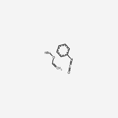 C=COCCCC.O=C=Nc1ccccc1